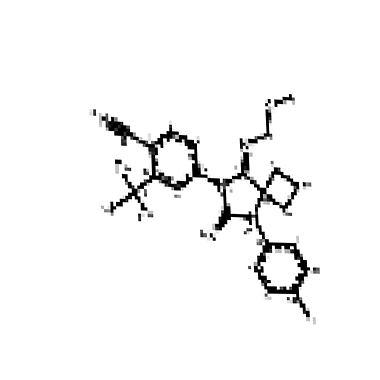 CSC/N=C1/N(c2ccc(C#N)c(C(F)(F)F)c2)C(=S)N(c2ccc(C)cc2)C12CCC2